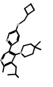 Cc1ncc(-c2ccc(OCC3CCC3)cn2)c(N2CCC(C)(C)CC2)c1CC(C)C